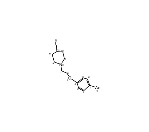 CC(=O)c1ccc(OCCN2CCC(F)CC2)cc1